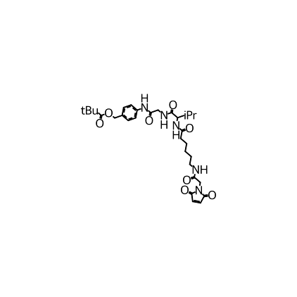 CC(C)C(NC(=O)CCCCCNC(=O)CN1C(=O)C=CC1=O)C(=O)NCC(=O)Nc1ccc(COC(=O)C(C)(C)C)cc1